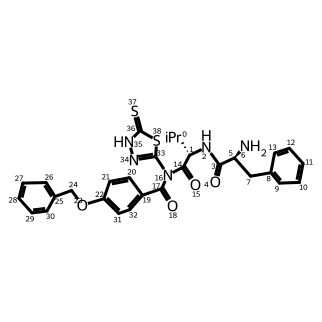 CC(C)[C@H](NC(=O)[C@@H](N)Cc1ccccc1)C(=O)N(C(=O)c1ccc(OCc2ccccc2)cc1)c1n[nH]c(=S)s1